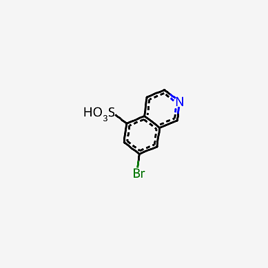 O=S(=O)(O)c1cc(Br)cc2cnccc12